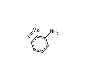 Nc1ccccc1.[S]=[Mo]